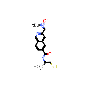 CC(C)(C)/[N+]([O-])=C\c1cc2cc(C(=O)NC(CS)C(=O)O)ccc2cn1